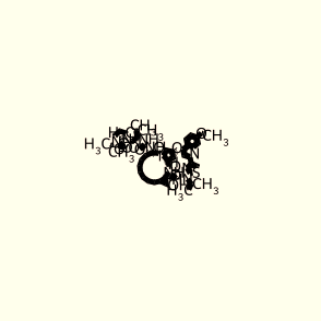 COc1ccc2c(O[C@@H]3C[C@H]4C(=O)N[C@]5(C(=O)O)CC5CCCCCCC[C@H](NC(=O)N[C@H](C(=O)N5CCCN(C(C)C)S5(=O)=O)C(C)(C)C)C(=O)N4C3)cc(-c3csc(NC(C)C)n3)nc2c1